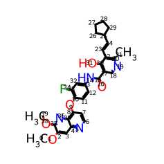 COc1cc2nccc(Oc3ccc(NC(=O)c4cnc(C)c(/C=C/C5CCCC5)c4O)cc3F)c2nc1OC